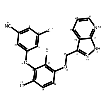 N#Cc1cc(Cl)cc(Oc2c(Cl)ccc(OCc3n[nH]c4ncccc34)c2F)c1